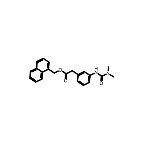 CN(C)C(=O)Nc1cccc(CC(=O)OCc2cccc3ccccc23)c1